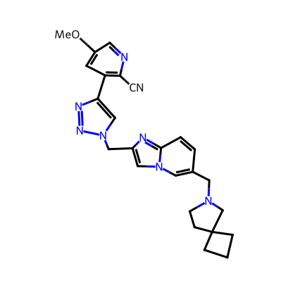 COc1cnc(C#N)c(-c2cn(Cc3cn4cc(CN5CCC6(CCC6)C5)ccc4n3)nn2)c1